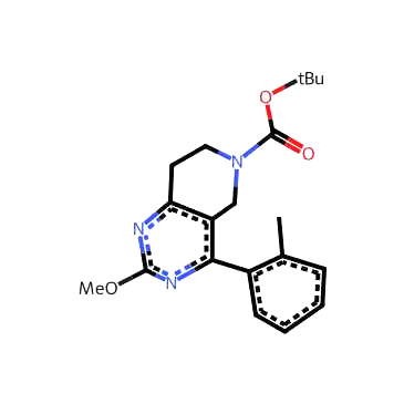 COc1nc2c(c(-c3ccccc3C)n1)CN(C(=O)OC(C)(C)C)CC2